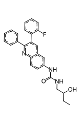 CCC(O)CNC(=O)Nc1ccc2nc(-c3ccccc3)c(-c3ccccc3F)cc2c1